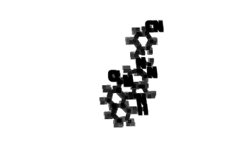 N#Cc1ccc(Cn2cncc2CN(C(=O)c2ccc3ccccc3c2)C2CCNC2)cc1